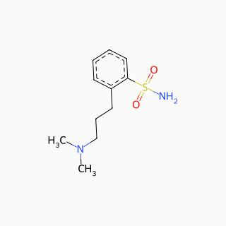 CN(C)CCCc1ccccc1S(N)(=O)=O